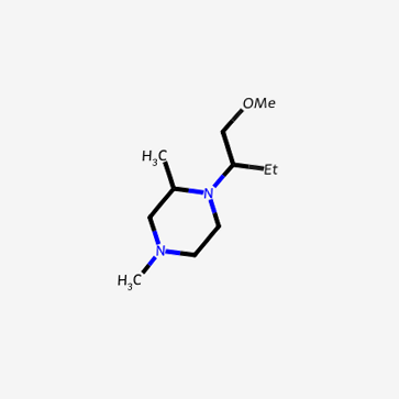 CCC(COC)N1CCN(C)CC1C